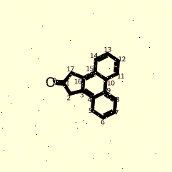 O=C1CC2=C3CC=CC=C3C3C=CC=CC3=C2C1